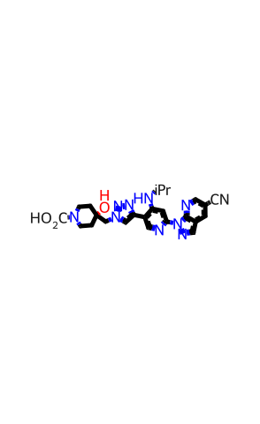 CC(C)Nc1cc(-n2ncc3cc(C#N)cnc32)ncc1-c1cn(CC2(O)CCN(C(=O)O)CC2)nn1